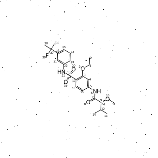 CCOc1cc(NC(=O)[C@@H](OC)C(C)C)ccc1S(=O)(=O)Nc1cccc(C(C)(F)I)c1